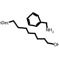 CCCCCCCCCCCCCCCCCCO.NCc1ccccc1